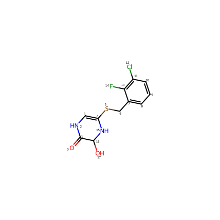 O=C1NC=C(SCc2cccc(Cl)c2F)NC1O